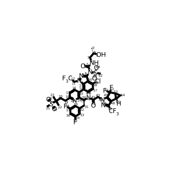 C[C@H](O)CNC(=O)N(c1nn(CC(F)(F)F)c2c(-c3ccc(CCC(C)(C)S(C)(=O)=O)nc3[C@H](Cc3cc(F)cc(F)c3)NC(=O)Cn3nc(C(F)(F)F)c4c3C(F)(F)C3C[C@H]43)ccc(Cl)c12)S(C)(=O)=O